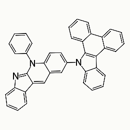 c1ccc(-n2c3nc4ccccc4c-3cc3cc(-n4c5ccccc5c5c6ccccc6c6ccccc6c54)ccc32)cc1